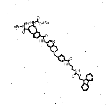 CCCN(CCC)C(=O)C1=Cc2ccc(C(=O)Nc3cnc4c(c3)CN(Cc3ccc(C(=O)NCCNC(=O)OCC5c6ccccc6-c6ccccc65)cc3)CC4)cc2N=C(NC(=O)OC(C)(C)C)C1